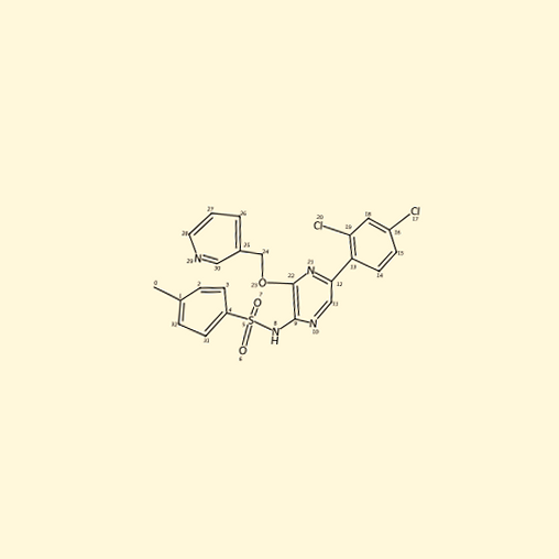 Cc1ccc(S(=O)(=O)Nc2ncc(-c3ccc(Cl)cc3Cl)nc2OCc2cccnc2)cc1